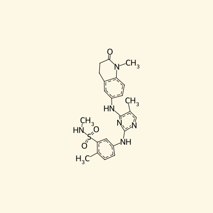 CNS(=O)(=O)c1cc(Nc2ncc(C)c(Nc3ccc4c(c3)CCC(=O)N4C)n2)ccc1C